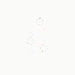 O[C@@]1(c2ccccc2)CCCN(c2ccc3c(c2)[C@@](O)(c2ccccc2)CNC3)C1